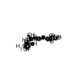 COc1cc(C(=O)NN2CCN(C3CCN(c4ccc5c(c4)C(=O)N(C4CCC(=O)NC4=O)C5=O)C3)CC2)ccc1Nc1ncc2c(n1)N(C1CCCC1)CC(F)(F)C(=O)N2C